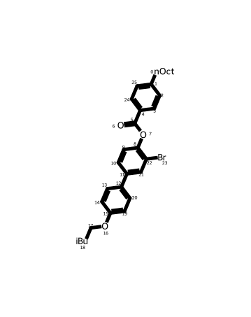 CCCCCCCCc1ccc(C(=O)Oc2ccc(-c3ccc(OCC(C)CC)cc3)cc2Br)cc1